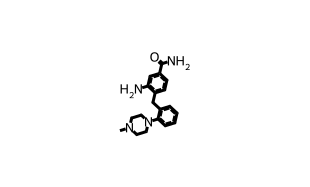 CN1CCN(c2ccccc2Cc2ccc(C(N)=O)cc2N)CC1